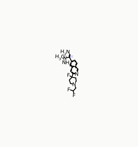 CN(N)/C(=C\N)c1ccc2cnc(C3(F)CCN(CC(F)F)CC3)cc2c1